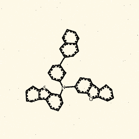 c1cc(-c2ccc3ccccc3c2)cc(N(c2ccc3c(c2)oc2ccccc23)c2cccc3c2sc2ccccc23)c1